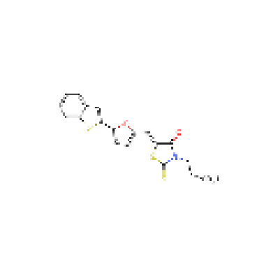 O=C(O)CCN1C(=O)C(=Cc2ccc(-c3cc4ccccc4s3)o2)SC1=S